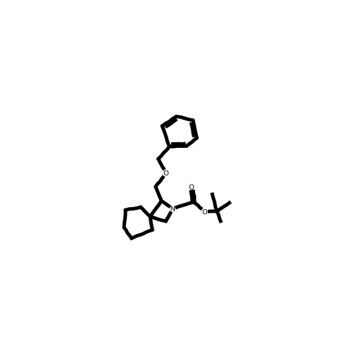 CC(C)(C)OC(=O)N1CC2(CCCCC2)C1COCc1ccccc1